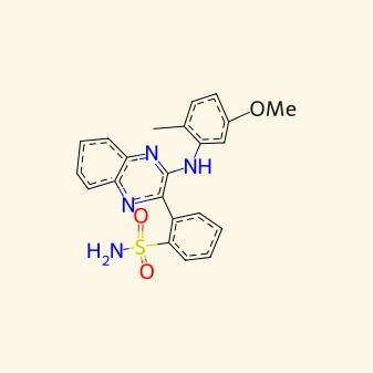 COc1ccc(C)c(Nc2nc3ccccc3nc2-c2ccccc2S(N)(=O)=O)c1